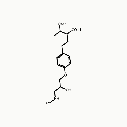 COC(C)C(CCc1ccc(OCC(O)CNC(C)C)cc1)C(=O)O